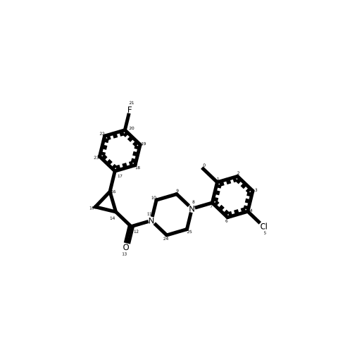 Cc1ccc(Cl)cc1N1CCN(C(=O)C2CC2c2ccc(F)cc2)CC1